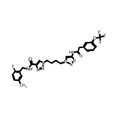 Cc1ccc(F)c(CNC(=O)c2cn(CCCCn3cc(NC(=O)Cc4cccc(OC(F)(F)F)c4)nn3)nn2)c1